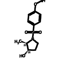 CC(C)Oc1ccc(S(=O)(=O)N2CC[C@H](O)[C@@H]2C)cc1